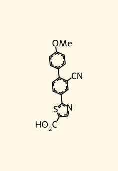 COc1ccc(-c2ccc(-c3ncc(C(=O)O)s3)cc2C#N)cc1